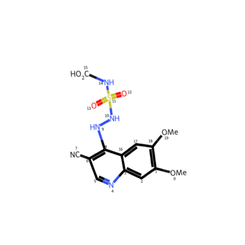 COc1cc2ncc(C#N)c(NNS(=O)(=O)NC(=O)O)c2cc1OC